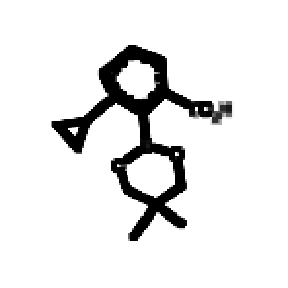 CC1(C)COB(c2c(C(=O)O)cccc2C2CC2)OC1